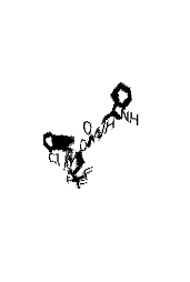 O=C(COc1cc(C(F)(F)F)nn1-c1ccccc1Cl)NCc1c[nH]c2ccccc12